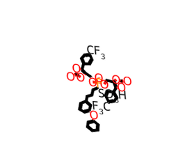 O=c1oc(COP(=O)(OCc2oc(=O)oc2-c2ccc(C(F)(F)F)cc2)C(CCCc2cccc(Oc3ccccc3)c2)S(=O)(=O)O)c(-c2ccc(C(F)(F)F)cc2)o1